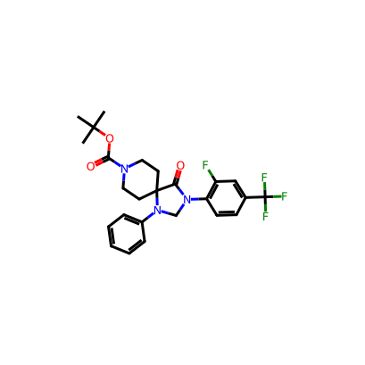 CC(C)(C)OC(=O)N1CCC2(CC1)C(=O)N(c1ccc(C(F)(F)F)cc1F)CN2c1ccccc1